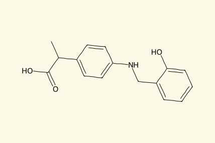 CC(C(=O)O)c1ccc(NCc2ccccc2O)cc1